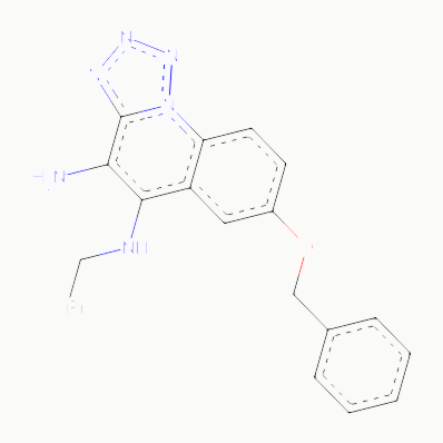 CC(C)CNc1c(N)c2nnnn2c2ccc(OCc3ccccc3)cc12